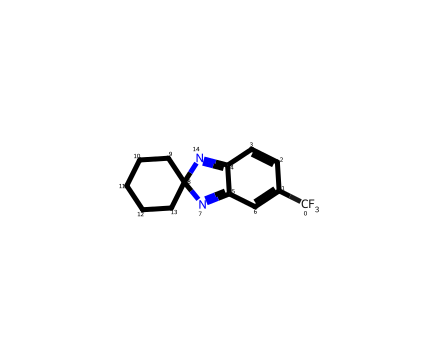 FC(F)(F)c1ccc2c(c1)=NC1(CCCCC1)N=2